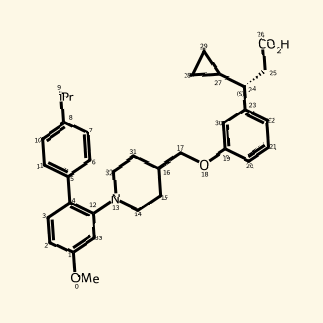 COc1ccc(-c2ccc(C(C)C)cc2)c(N2CCC(COc3cccc([C@@H](CC(=O)O)C4CC4)c3)CC2)c1